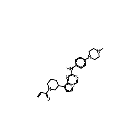 C=CC(=O)N1CCCC(c2ccn3cnc(Nc4ccc(N5CCN(C)CC5)cc4)nc23)C1